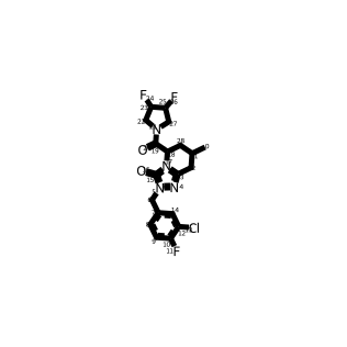 CC1Cc2nn(Cc3ccc(F)c(Cl)c3)c(=O)n2C(C(=O)N2CC(F)C(F)C2)C1